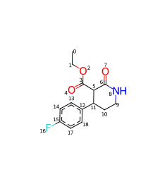 CCOC(=O)C1C(=O)NCCC1c1ccc(F)cc1